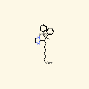 CCCCCCCCCCCCCCCCC(c1nccn1CCCCCC)C(C)(Cc1ccccc1)c1ccccc1